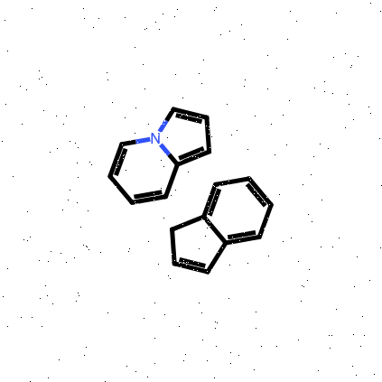 C1=Cc2ccccc2C1.c1ccn2cccc2c1